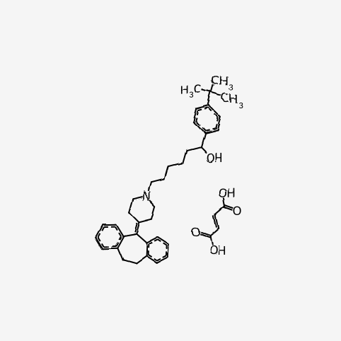 CC(C)(C)c1ccc(C(O)CCCCCN2CCC(=C3c4ccccc4CCc4ccccc43)CC2)cc1.O=C(O)C=CC(=O)O